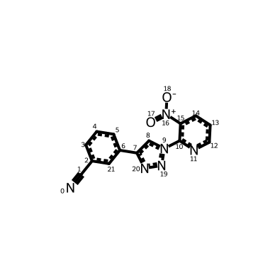 N#Cc1cccc(-c2cn(-c3ncccc3[N+](=O)[O-])nn2)c1